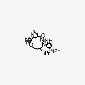 Cc1cc2cc(n1)-c1cnn(C)c1OCCCC(C)CN1/C(=N/C2=O)Nc2ccc(P(C(C)C)C(C)C)cc21